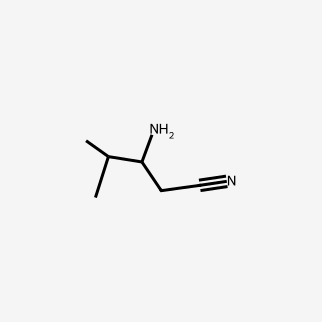 CC(C)C(N)CC#N